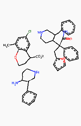 Cc1cc(Cl)cc2c1OCCC2C(=O)O.NC(=O)C(Cc1ccco1)(c1ccccc1)C1CCNCC1c1ccccc1.NC1CCNCC1c1ccccc1